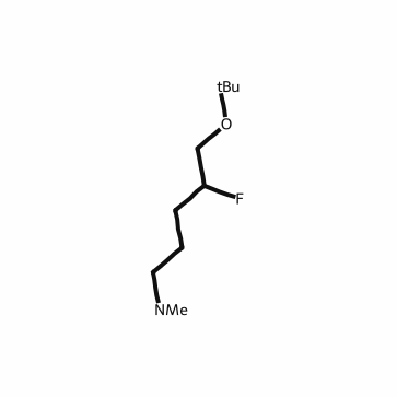 CNCCCC(F)COC(C)(C)C